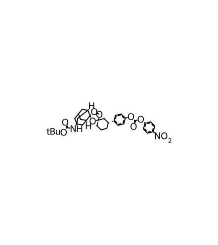 CC(C)(C)OC(=O)NC12CC3C[C@H](C1)C1(OO[C@@]4(CCC[C@@H](c5ccc(OC(=O)Oc6ccc([N+](=O)[O-])cc6)cc5)C4)O1)[C@@H](C3)C2